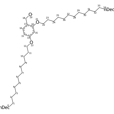 CCCCCCCCCCCCCCCCCCCCCCOc1ccc(C[O])c(OCCCCCCCCCCCCCCCCCCCCCC)c1